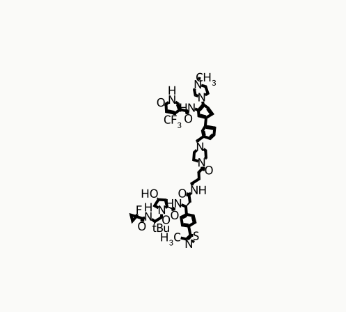 Cc1ncsc1-c1ccc([C@H](CC(=O)NCCCC(=O)N2CCN(Cc3cccc(-c4ccc(N5CCN(C)CC5)c(NC(=O)c5c[nH]c(=O)cc5C(F)(F)F)c4)c3)CC2)NC(=O)[C@@H]2C[C@@H](O)CN2C(=O)[C@@H](NC(=O)C2(F)CC2)C(C)(C)C)cc1